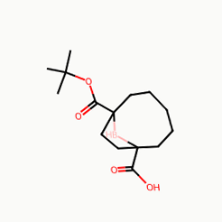 CC(C)(C)OC(=O)C12BC(C(=O)O)(CCCCC1)CC2